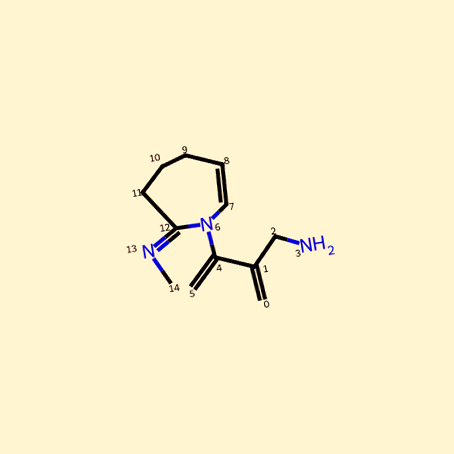 C=C(CN)C(=C)N1C=CCCC/C1=N/C